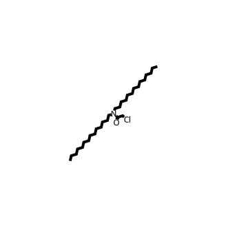 CCCCCCCCCCCCCCN(CCCCCCCCCCCCCC)C(=O)CCl